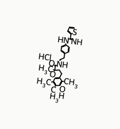 Cc1c(C)c2c(c(C)c1O)CCC(C)(C(=O)NCCc1ccc(NC(=N)c3cccs3)cc1)O2.Cl